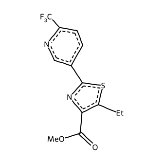 CCc1sc(-c2ccc(C(F)(F)F)nc2)nc1C(=O)OC